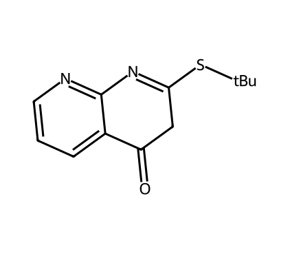 CC(C)(C)SC1=Nc2ncccc2C(=O)C1